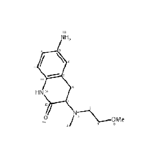 COCCN(C)C1Cc2cc(N)ccc2NC1=O